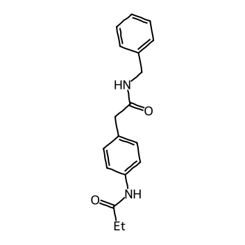 CCC(=O)Nc1ccc(CC(=O)NCc2ccccc2)cc1